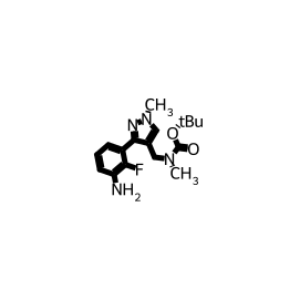 CN(Cc1cn(C)nc1-c1cccc(N)c1F)C(=O)OC(C)(C)C